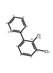 Clc1cccc(-c2ccc[c]n2)c1Cl